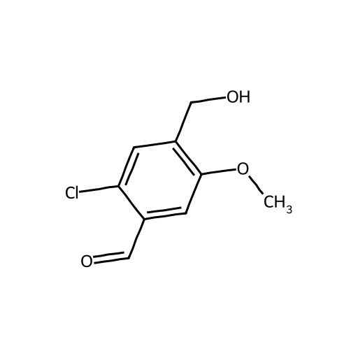 COc1cc(C=O)c(Cl)cc1CO